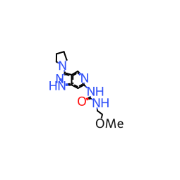 COCCNC(=O)Nc1cc2[nH]nc(N3CCCC3)c2cn1